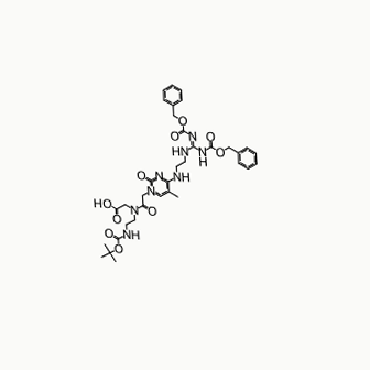 Cc1cn(CC(=O)N(CCNC(=O)OC(C)(C)C)CC(=O)O)c(=O)nc1NCCN/C(=N\C(=O)OCc1ccccc1)NC(=O)OCc1ccccc1